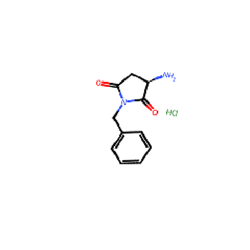 Cl.N[C@@H]1CC(=O)N(Cc2ccccc2)C1=O